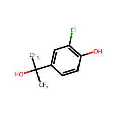 Oc1ccc(C(O)(C(F)(F)F)C(F)(F)F)cc1Cl